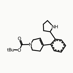 CC(C)(C)OC(=O)N1CC=C(c2ccccc2C2CCCN2)CC1